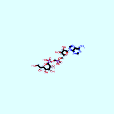 Nc1ncnc2c1ncn2[C@@H]1O[C@H](COP(=O)(O)COP(=O)(O)C2O[C@H]([C@H](O)CO)[C@@H](O)[C@H](O)[C@@H]2O)[C@@H](O)[C@H]1O